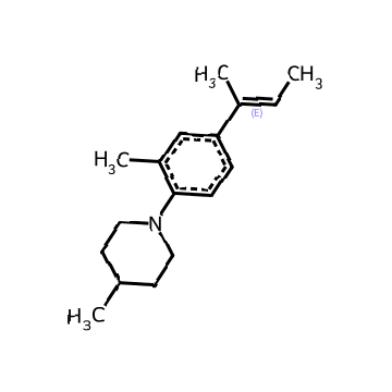 C/C=C(\C)c1ccc(N2CCC(C)CC2)c(C)c1